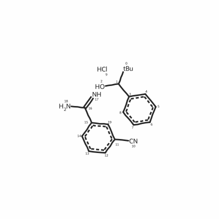 CC(C)(C)C(O)c1ccccc1.Cl.N#Cc1cccc(C(=N)N)c1